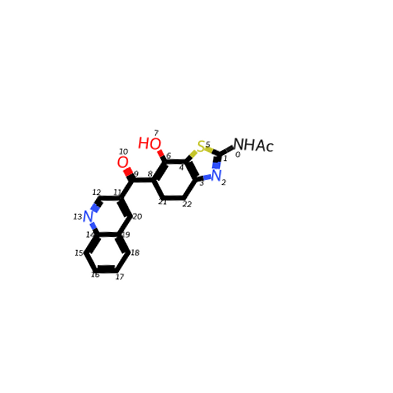 CC(=O)Nc1nc2c(s1)C(O)=C(C(=O)c1cnc3ccccc3c1)CC2